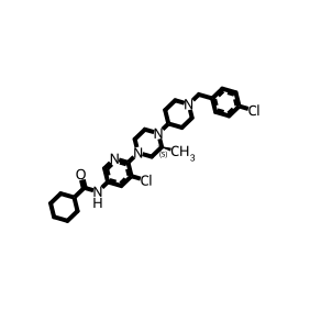 C[C@H]1CN(c2ncc(NC(=O)C3CCCCC3)cc2Cl)CCN1C1CCN(Cc2ccc(Cl)cc2)CC1